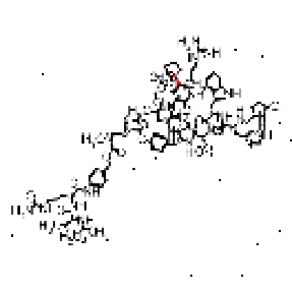 CCOC(=O)[C@@H]1CCCN1C(=O)[C@H](CCCNC(=N)N)NC(=O)[C@H](CC(C)C)NC(=O)[C@H](CC(C)C)NC(=O)[C@H](Cc1ccc(OC(=O)N(C)CCN(C)C(=O)OCc2ccc(NC(=O)[C@H](CCCNC(N)=O)NC(=O)[C@@H](NC(C)C)C(C)C)cc2)cc1)NC(=O)[C@H](CO)NC(=O)[C@H](Cc1c[nH]c2ccccc12)NC(=O)[C@H](Cc1c[nH]cn1)NCC1CCC(=O)N1